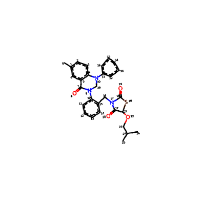 Cc1ccc2c(c1)C(=O)N(c1ccccc1CN1C(=O)SC(OCC(C)C)C1=O)CN2c1ccccc1